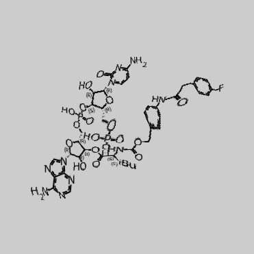 CC[C@H](C)[C@H](NC(=O)OCc1ccc(NC(=O)Cc2ccc(F)cc2)cc1)C(=O)O[C@H]1[C@@H](O)[C@H](n2cnc3c(N)ncnc32)O[C@@H]1COP(=O)(O)O[C@H]1[C@@H](O)[C@H](n2ccc(N)nc2=O)O[C@@H]1COP(=O)(O)O